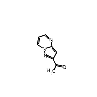 CC(=O)c1cc2ncccn2n1